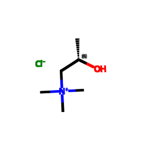 C[C@H](O)C[N+](C)(C)C.[Cl-]